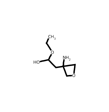 CCOC(O)CC1(N)COC1